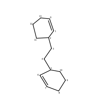 C1=CC(CCC2C=CCCC2)CCC1